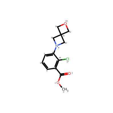 COC(=O)c1cccc(N2CC3(COC3)C2)c1Cl